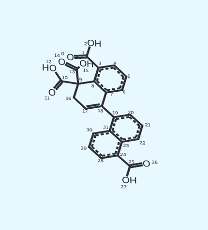 O=C(O)c1cccc2c1C(C(=O)O)(C(=O)O)CC=C2c1cccc2c(C(=O)O)cccc12